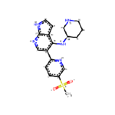 CS(=O)(=O)c1ccc(-c2cnc3[nH]ccc3c2N[C@@H]2CCCNC2)nc1